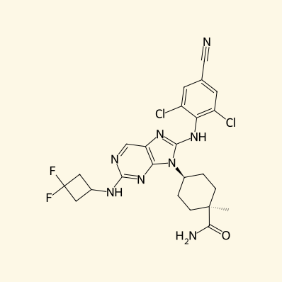 C[C@]1(C(N)=O)CC[C@@H](n2c(Nc3c(Cl)cc(C#N)cc3Cl)nc3cnc(NC4CC(F)(F)C4)nc32)CC1